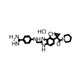 Cc1c(C2(C(=O)N3CCCCC3)CC2)ccc2[nH]c(CNc3ccc(C(=N)N)cc3)nc12.Cl